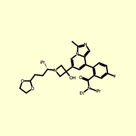 CCN(C(=O)c1cc(F)ccc1-c1cc(C2(O)CN([C@H](CCC3OCCO3)C(C)C)C2)cn2c(C)ncc12)C(C)C